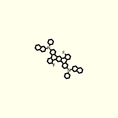 Fc1cccc2c3cc(N(c4ccccc4)c4ccc5ccccc5c4)ccc3c3cc4c(cc3c12)c1ccc(N(c2ccccc2)c2ccc3ccccc3c2)cc1c1cccc(F)c14